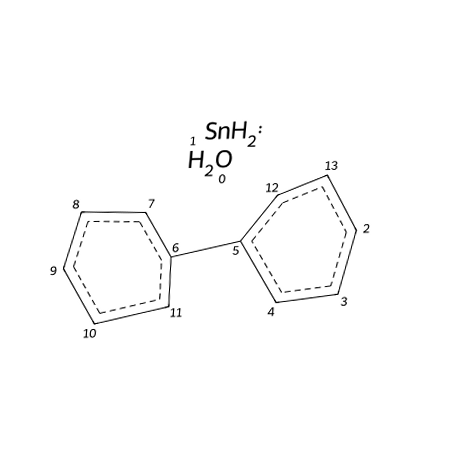 O.[SnH2].c1ccc(-c2ccccc2)cc1